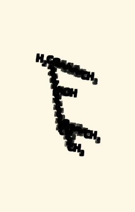 C=C(CCCCCCCN(CCO)CCCCCCCCCC(CC)OC(CCCCCC)CCCCCC)OCCCCCCCCC